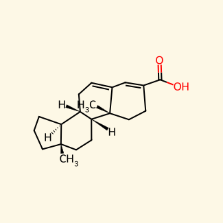 C[C@@]12CCC[C@H]1[C@@H]1CC=C3C=C(C(=O)O)CC[C@]3(C)[C@@H]1CC2